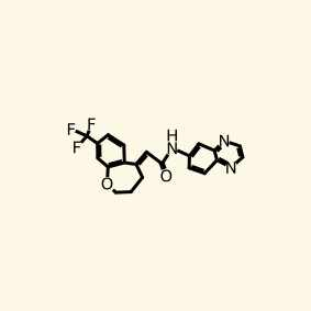 O=C(/C=C1\CCCOc2cc(C(F)(F)F)ccc21)Nc1ccc2nccnc2c1